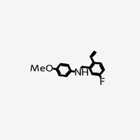 C=Cc1ccc(F)cc1CNc1ccc(OC)cc1